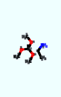 CCN.CO[SiH](OC)OC